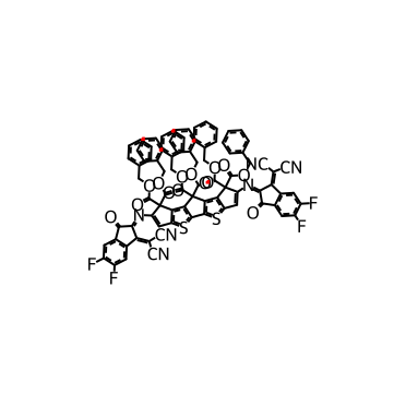 N#CC(C#N)=C1/C(=N/C2=Cc3sc4c(c3C2(C(=O)OCc2ccccc2)C(=O)OCc2ccccc2)C(C(=O)OCc2ccccc2)(C(=O)OCc2ccccc2)c2c-4sc3c2C(C(=O)OCc2ccccc2)(C(=O)OCc2ccccc2)C(/N=C2/C(=O)c4cc(F)c(F)cc4C2=C(C#N)C#N)=C3)C(=O)c2cc(F)c(F)cc21